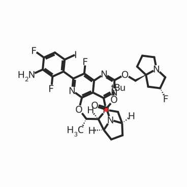 C[C@@H]1Oc2nc(-c3c(I)cc(F)c(N)c3F)c(F)c3nc(OC[C@@]45CCCN4C[C@H](F)C5)nc(c23)N2C[C@H]3CC[C@@H]([C@@H]12)N3C(=O)OC(C)(C)C